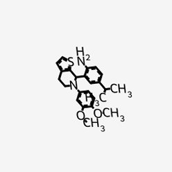 COc1ccc(N2CCc3ccsc3C2c2cc(C(C)C)ccc2N)cc1OC